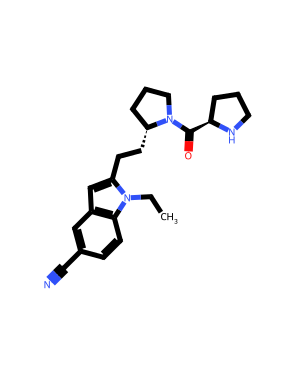 CCn1c(CC[C@@H]2CCCN2C(=O)[C@H]2CCCN2)cc2cc(C#N)ccc21